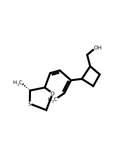 C/C=C(\C=C/C1OCS[C@@H]1C)C1CCC1CO